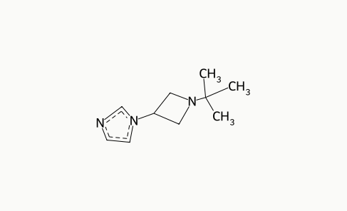 CC(C)(C)N1CC(n2ccnc2)C1